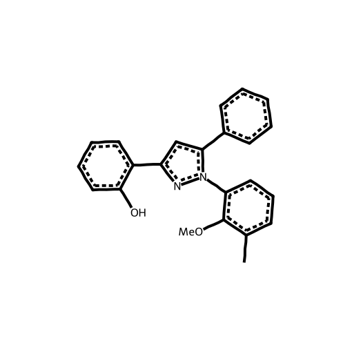 COc1c(C)cccc1-n1nc(-c2ccccc2O)cc1-c1ccccc1